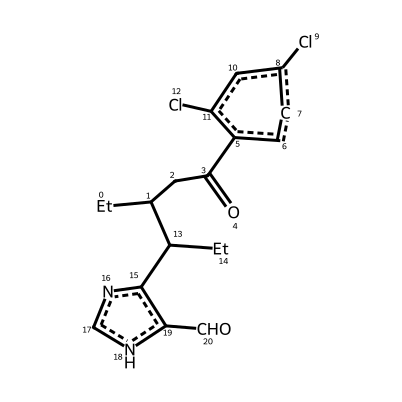 CCC(CC(=O)c1ccc(Cl)cc1Cl)C(CC)c1nc[nH]c1C=O